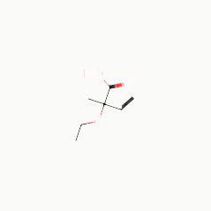 C=CC(C)(OCC)C(=O)O